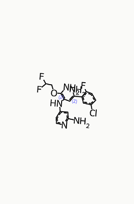 N/C(=C\C(Nc1ccnc(N)c1)=C(/N)OCC(F)F)c1cc(Cl)ccc1F